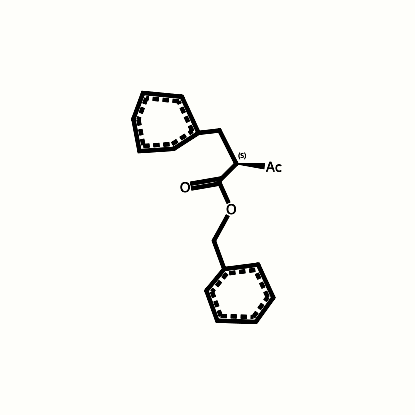 CC(=O)[C@H](Cc1ccccc1)C(=O)OCc1ccccc1